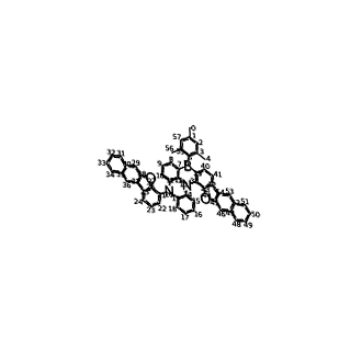 Cc1cc(C)c(B2c3cccc4c3N(c3ccccc3N4c3cccc4c3oc3cc5ccccc5cc34)c3c2ccc2c3oc3cc4ccccc4cc32)c(C)c1